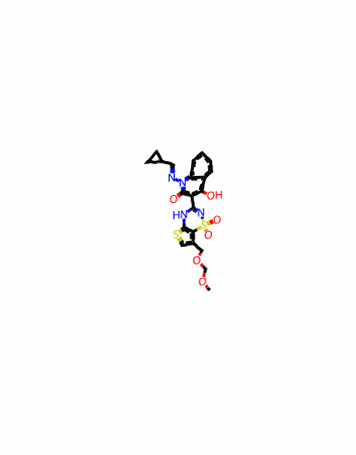 COCOCc1csc2c1S(=O)(=O)N=C(c1c(O)c3ccccc3n(N=CC3CC3)c1=O)N2